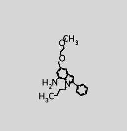 CCCCn1c(-c2ccccc2)cc2cc(COCCOC)cc(N)c21